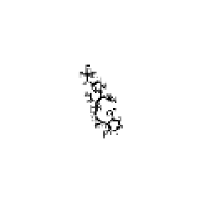 COc1cccc(F)c1C1CC1CNc1ccn2c(CC(F)(F)F)cnc2c1C#N